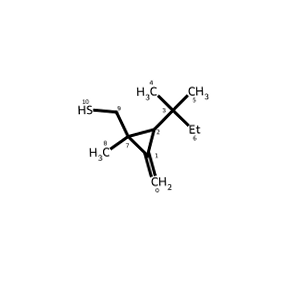 C=C1C(C(C)(C)CC)C1(C)CS